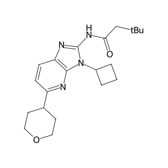 CC(C)(C)CC(=O)Nc1nc2ccc(C3CCOCC3)nc2n1C1CCC1